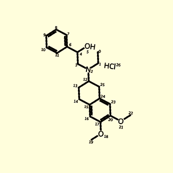 CCN(CC(O)c1ccccc1)C1CCc2cc(OC)c(OC)cc2C1.Cl